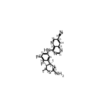 C[C@H]1C[C@@](C)(c2cc(Nc3ncnc4cc(C#N)cnc34)cc(F)c2F)N=C(N)S1